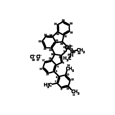 CCC1=Cc2c(-c3c(C)cc(C)cc3C)cccc2C1c1cccc2c1[CH]([Zr+2][SiH](C)C)c1ccccc1-2.[Cl-].[Cl-]